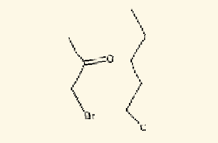 CC(=O)CBr.CCCCCCl